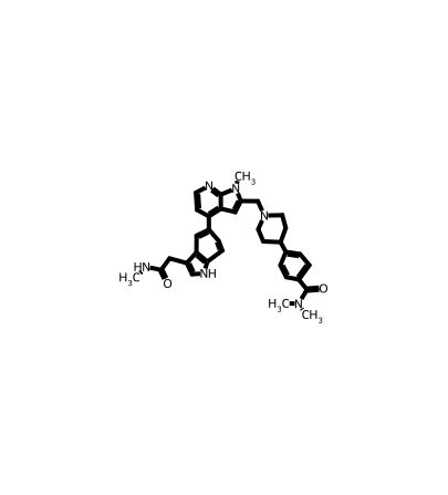 CNC(=O)Cc1c[nH]c2ccc(-c3ccnc4c3cc(CN3CCC(c5ccc(C(=O)N(C)C)cc5)CC3)n4C)cc12